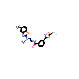 Cc1ccc2oc(N(C)CCNC(=O)c3cccc(-c4noc(C(F)(F)F)n4)c3)nc2c1